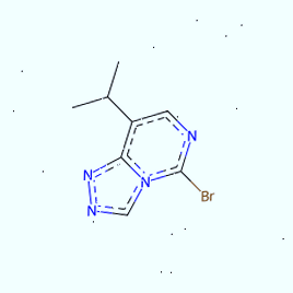 CC(C)c1cnc(Br)n2cnnc12